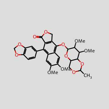 COc1cc2c(OC3OC4COC(C)OC4C(OC)C3OC)c3c(c(-c4ccc5c(c4)OCO5)c2cc1OC)C(=O)OC3